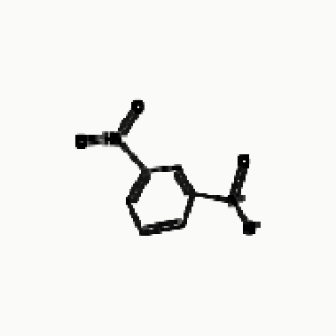 O=[N+]([O-])c1cccc([SH](=O)=O)c1